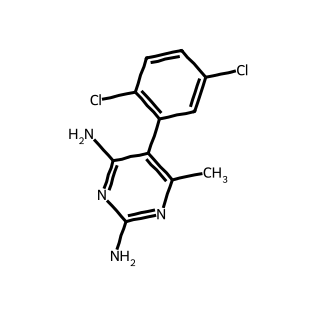 Cc1nc(N)nc(N)c1-c1cc(Cl)ccc1Cl